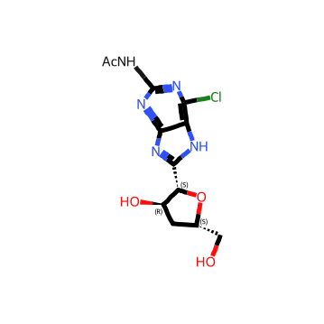 CC(=O)Nc1nc(Cl)c2[nH]c([C@@H]3O[C@H](CO)C[C@H]3O)nc2n1